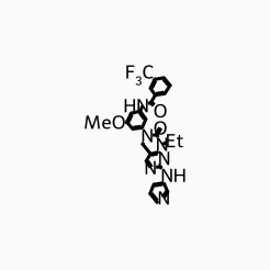 CCN1C(=O)N(c2cc(NC(=O)c3cccc(C(F)(F)F)c3)cc(OC)c2)Cc2cnc(Nc3cccnc3)nc21